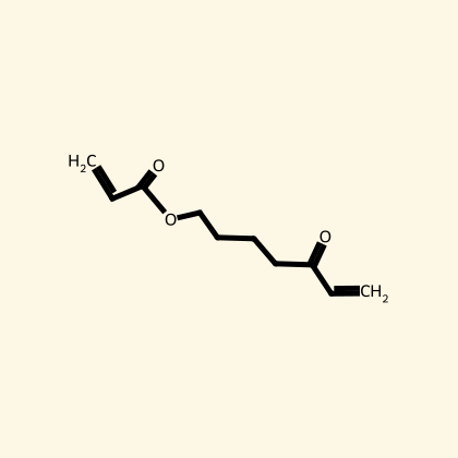 C=CC(=O)CCCCOC(=O)C=C